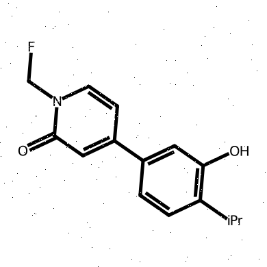 CC(C)c1ccc(-c2ccn(CF)c(=O)c2)cc1O